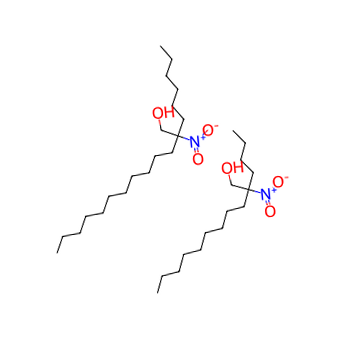 CCCCCCCCCC(CO)(CCCC)[N+](=O)[O-].CCCCCCCCCCCC(CO)(CCCCCC)[N+](=O)[O-]